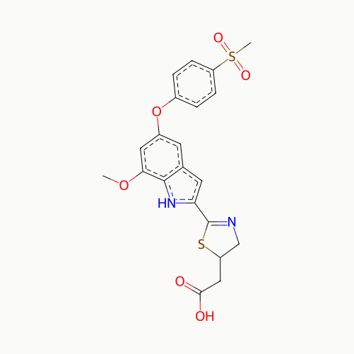 COc1cc(Oc2ccc(S(C)(=O)=O)cc2)cc2cc(C3=NCC(CC(=O)O)S3)[nH]c12